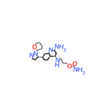 NC(=O)OCCCNc1cc(N)nc2cc(-c3ccnn3C3CCCCO3)ccc12